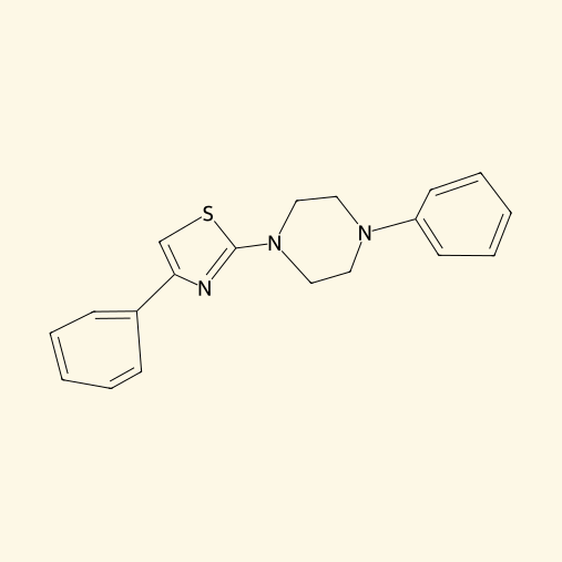 c1ccc(-c2csc(N3CCN(c4ccccc4)CC3)n2)cc1